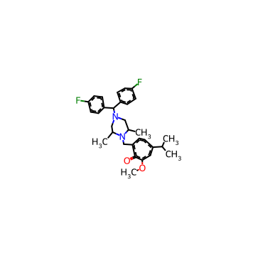 COc1cc(C(C)C)ccc(CN2C(C)CN(C(c3ccc(F)cc3)c3ccc(F)cc3)CC2C)c1=O